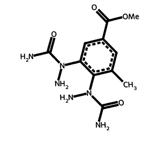 COC(=O)c1cc(C)c(N(N)C(N)=O)c(N(N)C(N)=O)c1